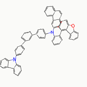 c1cc(-c2ccc(N(c3ccc4ccc5ccccc5c4c3)c3ccccc3-c3cccc4oc5ccccc5c34)cc2)cc(-c2ccc(-n3c4ccccc4c4ccccc43)cc2)c1